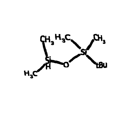 C[SiH](C)O[Si](C)(C)C(C)(C)C